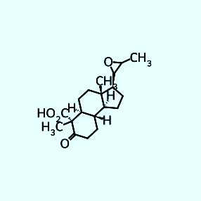 CC1OC1[C@H]1CC[C@H]2[C@@H]3CCC(=O)[C@](C)(C(=O)O)[C@H]3CC[C@]12C